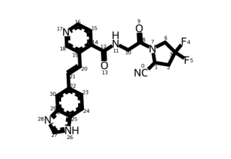 N#CC1CC(F)(F)CN1C(=O)CNC(=O)c1ccncc1C=Cc1ccc2[nH]cnc2c1